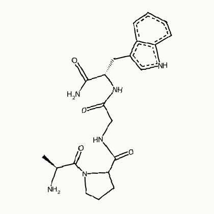 C[C@H](N)C(=O)N1CCCC1C(=O)NCC(=O)N[C@@H](Cc1c[nH]c2ccccc12)C(N)=O